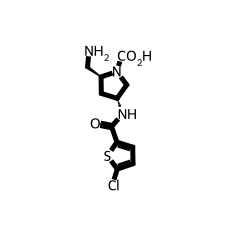 NC[C@@H]1C[C@@H](NC(=O)c2ccc(Cl)s2)CN1C(=O)O